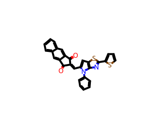 O=C1C(=Cc2cc3sc(-c4cccs4)nc3n2-c2ccccc2)C(=O)c2cc3ccccc3cc21